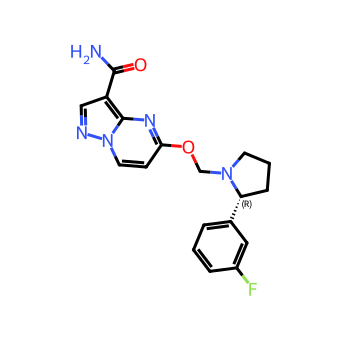 NC(=O)c1cnn2ccc(OCN3CCC[C@@H]3c3cccc(F)c3)nc12